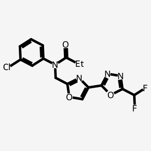 CCC(=O)N(Cc1nc(-c2nnc(C(F)F)o2)co1)c1cccc(Cl)c1